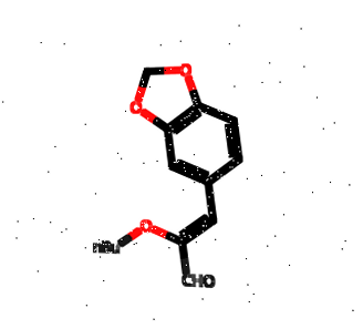 CCCCOC(C=O)=Cc1ccc2c(c1)OCO2